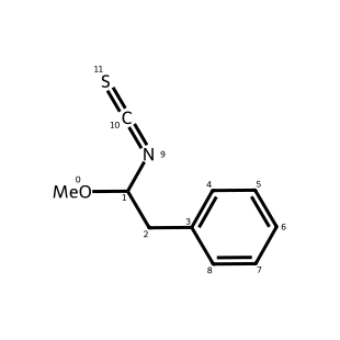 COC(Cc1ccccc1)N=C=S